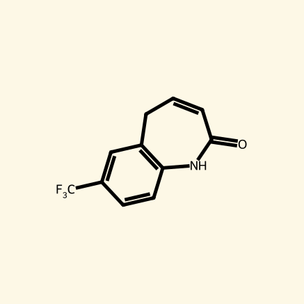 O=C1C=CCc2cc(C(F)(F)F)ccc2N1